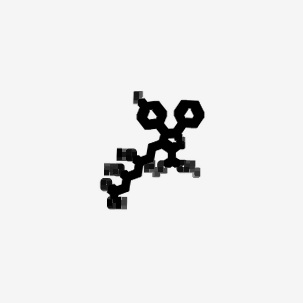 CC(C)c1sc(-c2ccccc2)c(-c2ccc(F)cc2)c1CCC(O)CC(O)CC(=O)O